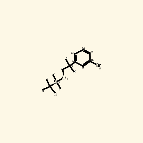 CC(C)(CO[Si](C)(C)C(C)(C)C)c1cccc(Br)c1